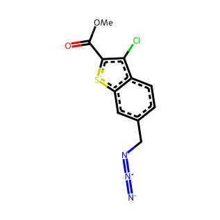 COC(=O)c1sc2cc(CN=[N+]=[N-])ccc2c1Cl